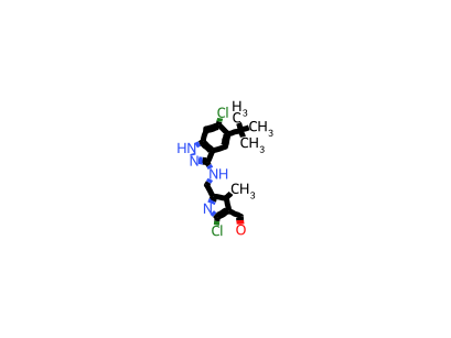 CC1C(CNc2n[nH]c3cc(Cl)c(C(C)(C)C)cc23)=NC(Cl)=C1C=O